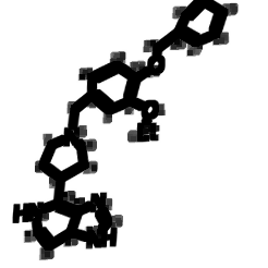 CCOc1cc(CN2CCC(C3=C4N=CNC4C=CN3)CC2)ccc1OCc1ccccc1